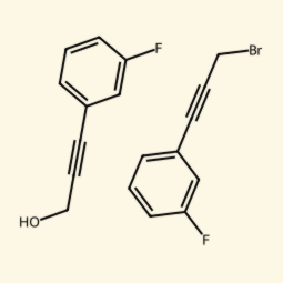 Fc1cccc(C#CCBr)c1.OCC#Cc1cccc(F)c1